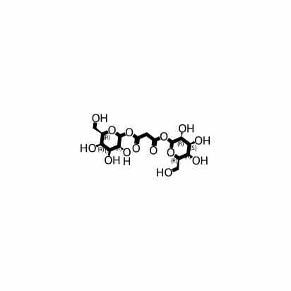 O=C(CC(=O)OC1O[C@H](CO)[C@H](O)[C@H](O)[C@H]1O)OC1O[C@H](CO)[C@H](O)[C@H](O)[C@H]1O